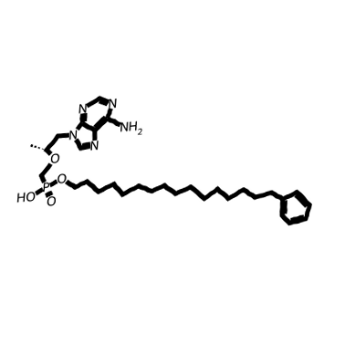 C[C@H](Cn1cnc2c(N)ncnc21)OCP(=O)(O)OCCCCCCCCCCCCCCCCc1ccccc1